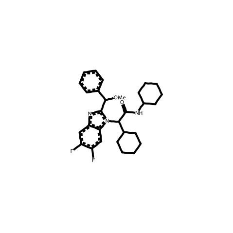 COC(c1ccccc1)c1nc2cc(F)c(F)cc2n1C(C(=O)NC1CCCCC1)C1CCCCC1